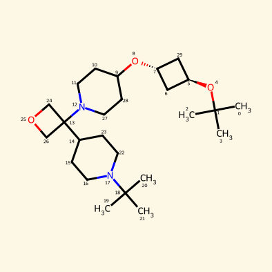 CC(C)(C)O[C@H]1C[C@H](OC2CCN(C3(C4CCN(C(C)(C)C)CC4)COC3)CC2)C1